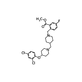 COC(=O)c1cc(F)ccc1CN1CCC(CN2CCC(Oc3ccc(Cl)cc3Cl)CC2)CC1